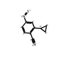 N#Cc1ccc(N=S)cc1C1CC1